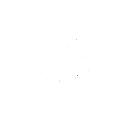 CCCNc1nc(N)nc(-c2ccccc2)n1